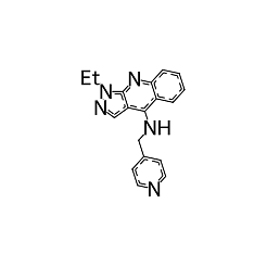 CCn1ncc2c(NCc3ccncc3)c3ccccc3nc21